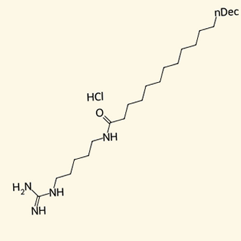 CCCCCCCCCCCCCCCCCCCCCC(=O)NCCCCCNC(=N)N.Cl